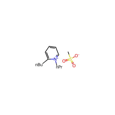 CCCCc1cccc[n+]1CCC.CS(=O)(=O)[O-]